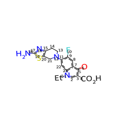 CCn1cc(C(=O)O)c(=O)c2cc(F)c(N3CCc4nc(N)sc4C3)cc21